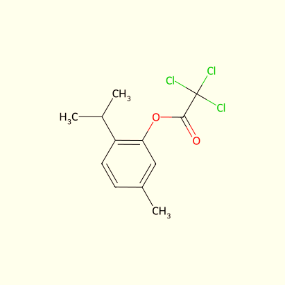 Cc1ccc(C(C)C)c(OC(=O)C(Cl)(Cl)Cl)c1